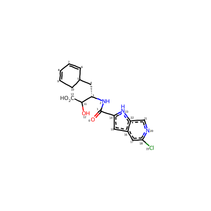 O=C(N[C@@H](CC1C=CC=CC1)C(O)C(=O)O)c1cc2cc(Cl)ncc2[nH]1